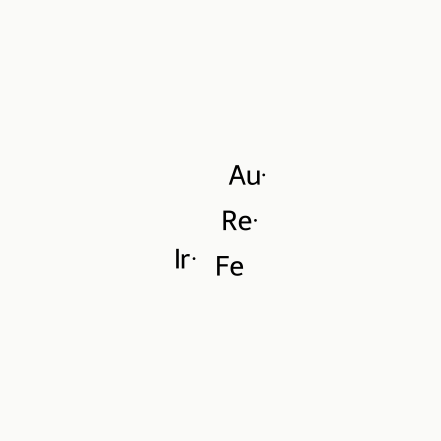 [Au].[Fe].[Ir].[Re]